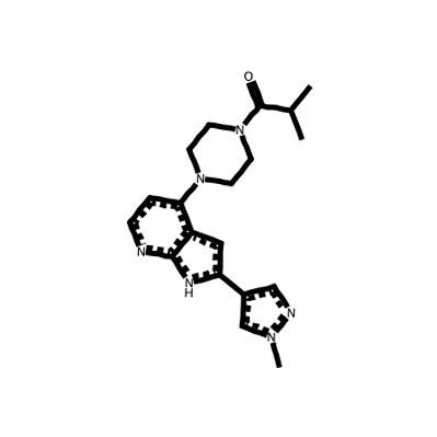 CC(C)C(=O)N1CCN(c2ccnc3[nH]c(-c4cnn(C)c4)cc23)CC1